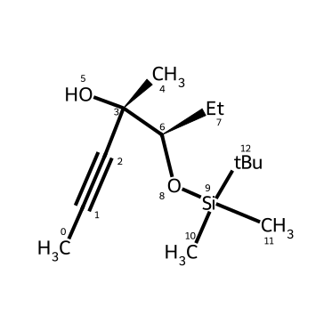 CC#C[C@](C)(O)[C@@H](CC)O[Si](C)(C)C(C)(C)C